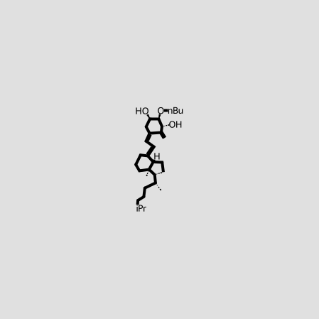 C=C1C(=CC=C2CCC[C@]3(C)[C@@H]([C@H](C)CCCC(C)C)CC[C@@H]23)C[C@@H](O)[C@@H](OCCCC)[C@@H]1O